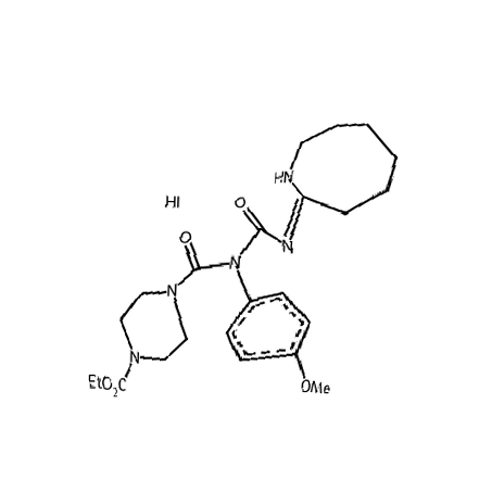 CCOC(=O)N1CCN(C(=O)N(C(=O)N=C2CCCCCCN2)c2ccc(OC)cc2)CC1.I